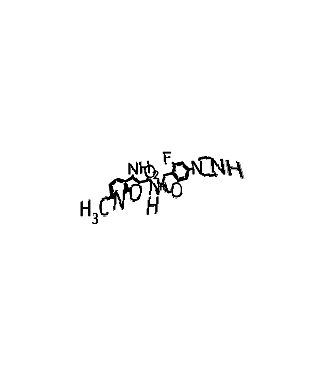 Cc1ccc2c(N)c(C(=O)N[C@H]3COc4cc(N5CCNCC5)cc(F)c4C3)oc2n1